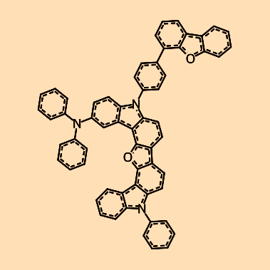 c1ccc(N(c2ccccc2)c2ccc3c(c2)c2c4oc5c(ccc6c5c5ccccc5n6-c5ccccc5)c4ccc2n3-c2ccc(-c3cccc4c3oc3ccccc34)cc2)cc1